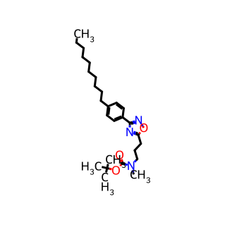 CCCCCCCCCCc1ccc(-c2noc(CCCN(C)C(=O)OC(C)(C)C)n2)cc1